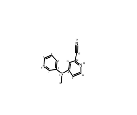 CN(c1cccnc1)c1ccnc(C#N)c1